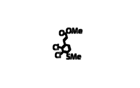 COC(=O)C=Cc1ccc(SC)c(Cl)c1Cl